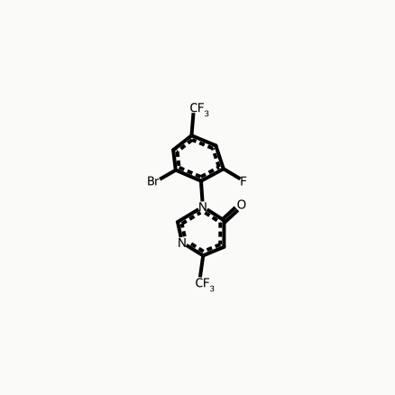 O=c1cc(C(F)(F)F)ncn1-c1c(F)cc(C(F)(F)F)cc1Br